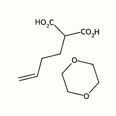 C1COCCO1.C=CCCC(C(=O)O)C(=O)O